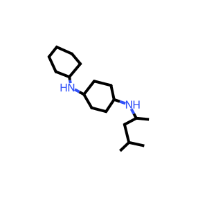 CC(C)CC(C)NC1CCC(NC2CCCCC2)CC1